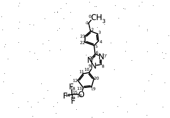 C[CH]c1ccc(-c2ncn(-c3ccc(OC(F)(F)F)cc3)n2)cc1